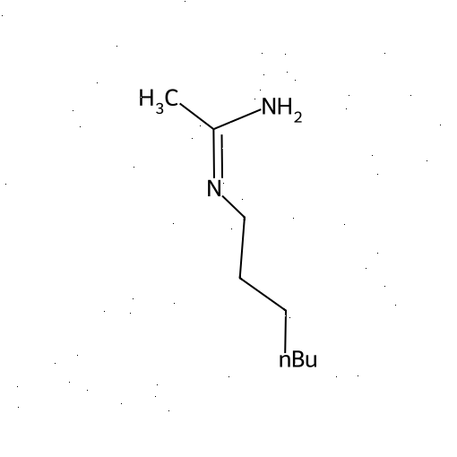 CCCCCCC/N=C(/C)N